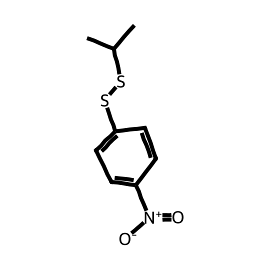 CC(C)SSc1ccc([N+](=O)[O-])cc1